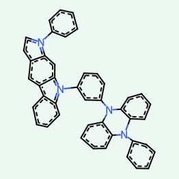 c1ccc(N2c3ccccc3N(c3cccc(-n4c5ccccc5c5cc6ccn(-c7ccccc7)c6cc54)c3)c3ccccc32)cc1